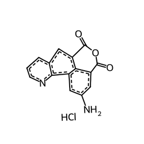 Cl.Nc1cc2c3c(cc4cccnc4c3c1)C(=O)OC2=O